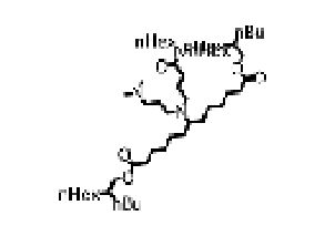 CCCCCCC(CCCC)COC(=O)CCCCCC(CCCCCC(=O)OCC(CCCC)CCCCCC)N(CCCC(=O)N(CCCCCC)CCCCCC)CCCN(C)C